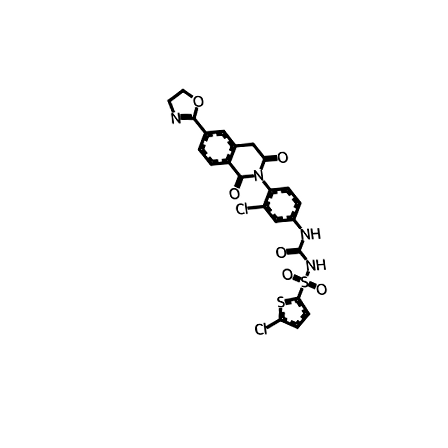 O=C(Nc1ccc(N2C(=O)Cc3cc(C4=NCCO4)ccc3C2=O)c(Cl)c1)NS(=O)(=O)c1ccc(Cl)s1